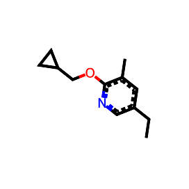 CCc1cnc(OCC2CC2)c(C)c1